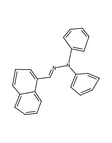 C(=NN(c1ccccc1)c1ccccc1)c1cccc2ccccc12